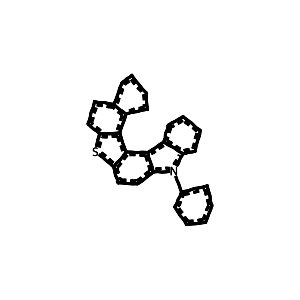 c1ccc(-n2c3ccccc3c3c4c(ccc32)sc2ccc3ccccc3c24)cc1